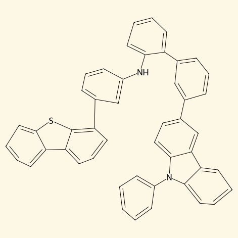 c1ccc(-n2c3ccccc3c3cc(-c4cccc(-c5ccccc5Nc5cccc(-c6cccc7c6sc6ccccc67)c5)c4)ccc32)cc1